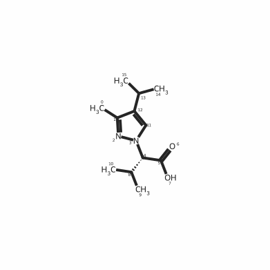 Cc1nn([C@H](C(=O)O)C(C)C)cc1C(C)C